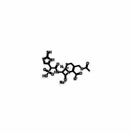 CC(=O)OCC1=C(C(=O)[O-])N2C(=O)C(NC(=O)C(c3csc(=N)[nH]3)S(=O)(=O)O)[C@H]2SC1.[Na+]